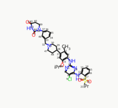 Cc1cc(Nc2ncc(Cl)c(Nc3ccccc3S(=O)(=O)C(C)C)n2)c(OC(C)C)cc1C1CCN(Cc2cccc(N3CCC(=O)NC3=O)c2)CC1